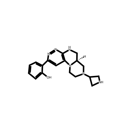 Oc1ccccc1-c1cc2c(nn1)NC[C@H]1CN(C3CNC3)CCN21